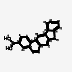 OB(O)c1ccc2c(ccc3cc4sc5ccccc5c4cc32)c1